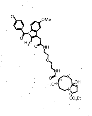 CCOC(=O)[C@@H]1CSC2(O)CSC[C@@H](C(=O)NCCOCCNC(=O)Cc3c(C)n(C(=O)c4ccc(Cl)cc4)c4ccc(OC)cc34)N(C)CCN12